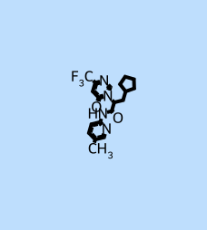 Cc1ccc(NC(=O)C(CC2CCCC2)n2cnc(C(F)(F)F)cc2=O)nc1